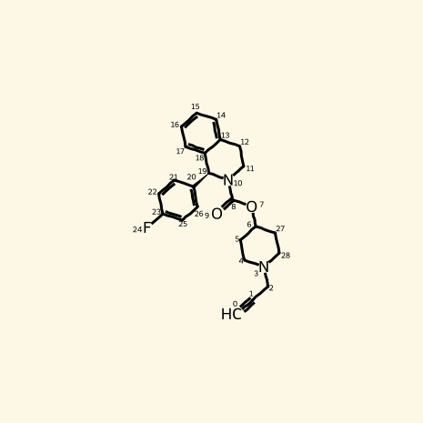 C#CCN1CCC(OC(=O)N2CCc3ccccc3[C@@H]2c2ccc(F)cc2)CC1